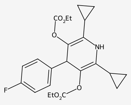 CCOC(=O)OC1=C(C2CC2)NC(C2CC2)=C(OC(=O)OCC)C1c1ccc(F)cc1